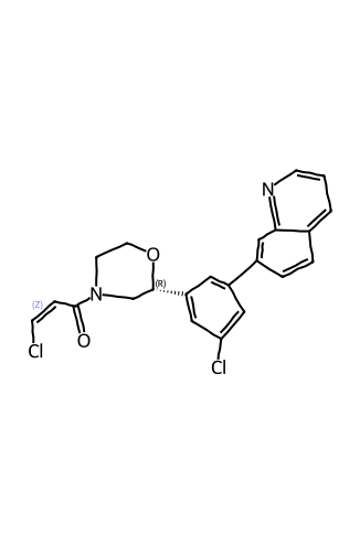 O=C(/C=C\Cl)N1CCO[C@H](c2cc(Cl)cc(-c3ccc4cccnc4c3)c2)C1